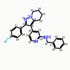 Fc1ccc(-c2nn3c(c2-c2ccnc(NCc4ccccc4)c2)CCCC3)cc1